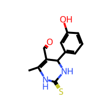 CC1=C(C=O)C(c2cccc(O)c2)NC(=S)N1